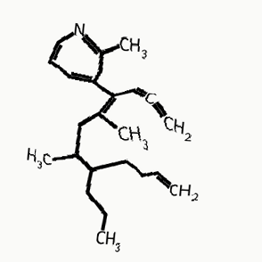 C=C=C/C(=C(\C)CC(C)C(CCC)CCC=C)c1cccnc1C